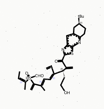 C=C/C(=C\C=C(/C)C(=C)[SH](=O)(C=O)/C(C)=C\C)[C@@H](CCO)C(=C)C(=O)c1nc2cc3c(nc2s1)CC[C@H](C(C)(C)C)C3